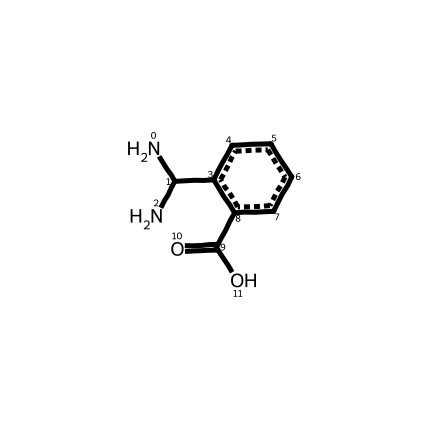 NC(N)c1ccccc1C(=O)O